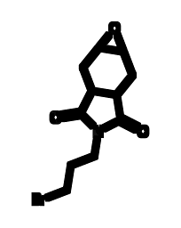 O=C1C2CC3OC3CC2C(=O)N1CCCBr